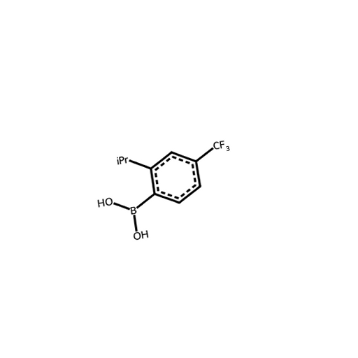 CC(C)c1cc(C(F)(F)F)ccc1B(O)O